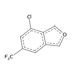 FC(F)(F)c1cc(Cl)c2[c]occ2c1